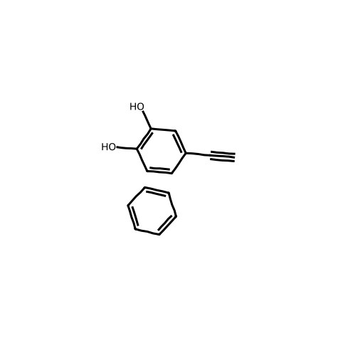 C#Cc1ccc(O)c(O)c1.c1ccccc1